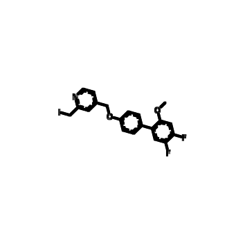 COc1cc(F)c(F)cc1-c1ccc(OCc2ccnc(CI)c2)cc1